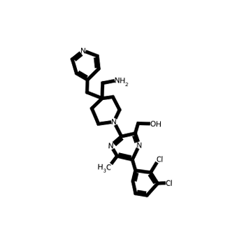 Cc1nc(N2CCC(CN)(Cc3ccncc3)CC2)c(CO)nc1-c1cccc(Cl)c1Cl